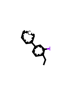 CCc1ccc(-c2ccccc2)cc1I